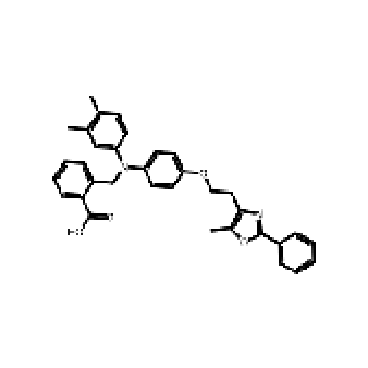 Cc1ccc(N(Cc2ccccc2C(=O)O)c2ccc(OCCc3nc(-c4ccccc4)oc3C)cc2)cc1C